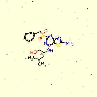 CC(C)C[C@H](CO)Nc1nc(S(=O)(=O)Cc2ccccc2)nc2nc(N)sc12